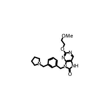 COCCOc1ncc2[nH]c(=O)n(Cc3cccc(CN4CCCC4)c3)c2n1